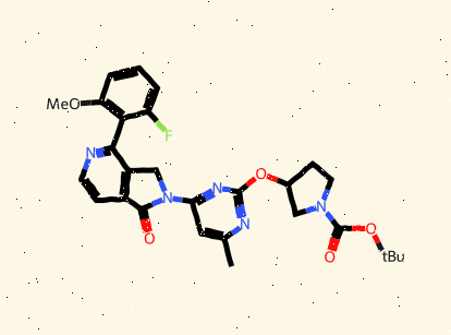 COc1cccc(F)c1-c1nccc2c1CN(c1cc(C)nc(OC3CCN(C(=O)OC(C)(C)C)C3)n1)C2=O